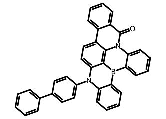 O=c1c2ccccc2c2ccc3c4c2n1-c1ccccc1B4c1ccccc1N3c1ccc(-c2ccccc2)cc1